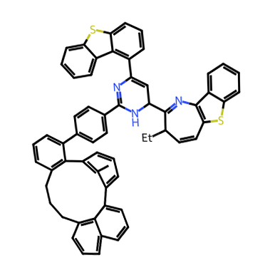 CCC1C=Cc2sc3ccccc3c2N=C1C1C=C(c2cccc3sc4ccccc4c23)N=C(c2ccc(-c3cccc4c3-c3cccc(c3C)-c3cccc5cccc(c35)CCC4)cc2)N1